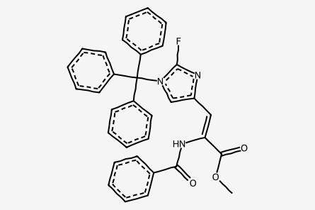 COC(=O)C(=Cc1cn(C(c2ccccc2)(c2ccccc2)c2ccccc2)c(F)n1)NC(=O)c1ccccc1